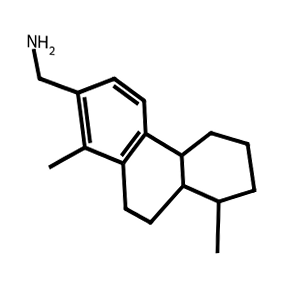 Cc1c(CN)ccc2c1CCC1C(C)CCCC21